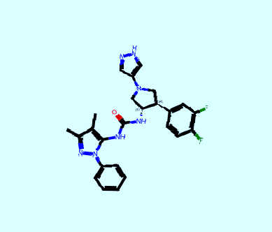 Cc1nn(-c2ccccc2)c(NC(=O)N[C@@H]2CN(c3cn[nH]c3)C[C@H]2c2ccc(F)c(F)c2)c1C